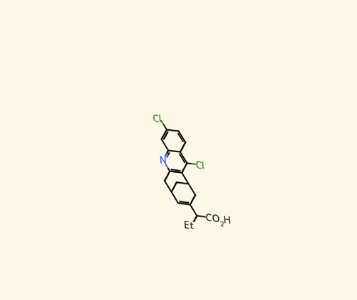 CCC(C(=O)O)C1=CC2Cc3nc4cc(Cl)ccc4c(Cl)c3C(C1)C2